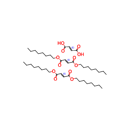 CCCCCCCCOC(=O)/C=C/C(=O)OCCCCCCCC.CCCCCCCCOC(=O)/C=C/C(=O)OCCCCCCCC.O=C(O)/C=C/C(=O)O